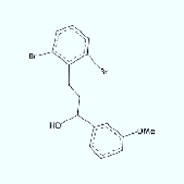 COc1cccc(C(O)CCc2c(Br)cccc2Br)c1